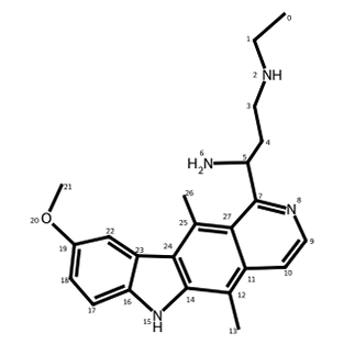 CCNCCC(N)c1nccc2c(C)c3[nH]c4ccc(OC)cc4c3c(C)c12